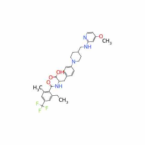 CCc1cc(C(F)(F)F)cc(C)c1C(=O)NC(Cc1ccc(N2CCC(CNc3cc(OC)ccn3)CC2)cc1)C(=O)O